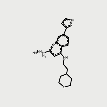 N.N.Nc1cc(NCCC2CCOCC2)c2ccc(-c3cc[nH]n3)cc2n1